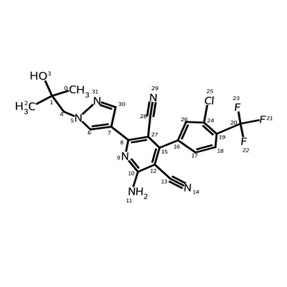 CC(C)(O)Cn1cc(-c2nc(N)c(C#N)c(-c3ccc(C(F)(F)F)c(Cl)c3)c2C#N)cn1